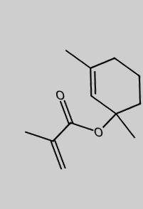 C=C(C)C(=O)OC1(C)C=C(C)CCC1